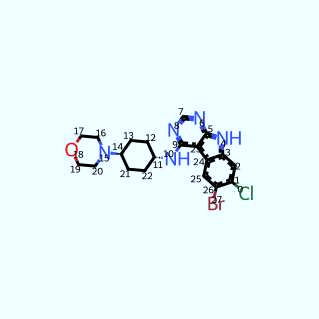 Clc1cc2[nH]c3ncnc(N[C@H]4CC[C@H](N5CCOCC5)CC4)c3c2cc1Br